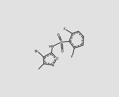 Cc1noc(NS(=O)(=O)c2c(F)cccc2F)c1Br